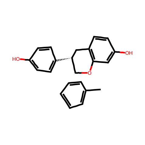 Cc1ccccc1.Oc1ccc([C@H]2COc3cc(O)ccc3C2)cc1